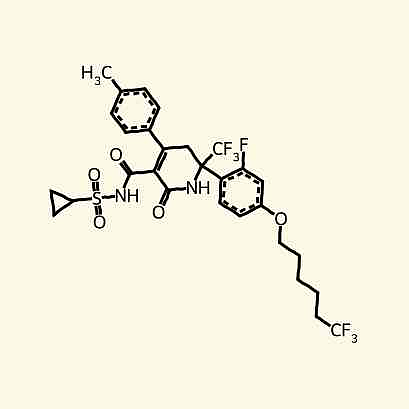 Cc1ccc(C2=C(C(=O)NS(=O)(=O)C3CC3)C(=O)NC(c3ccc(OCCCCCC(F)(F)F)cc3F)(C(F)(F)F)C2)cc1